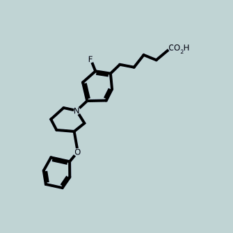 O=C(O)CCCCc1ccc(N2CCCC(Oc3ccccc3)C2)cc1F